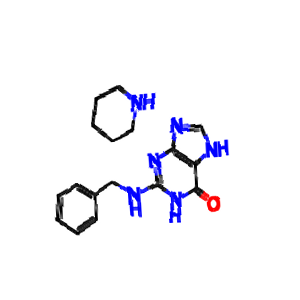 C1CCNCC1.O=c1[nH]c(NCc2ccccc2)nc2nc[nH]c12